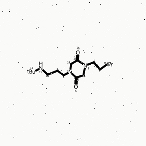 CC(C)CCN1CC(=O)N(CCCNC(C)(C)C)CC1=O